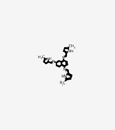 Cc1ccc(/C=N/c2ccc3c(/N=C/c4ccc(C)[nH]4)ccc(/N=C/c4ccc(C)[nH]4)c3c2)[nH]1